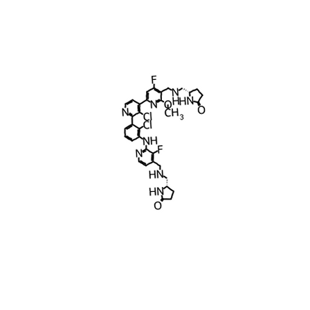 COc1nc(-c2ccnc(-c3cccc(Nc4nccc(CNC[C@@H]5CCC(=O)N5)c4F)c3Cl)c2Cl)cc(F)c1CNC[C@@H]1CCC(=O)N1